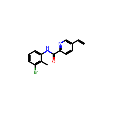 C=Cc1ccc(C(=O)Nc2cccc(Br)c2C)nc1